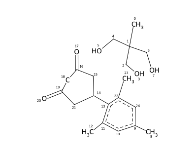 CC(CO)(CO)CO.Cc1cc(C)c(C2CC(=O)CC(=O)C2)c(C)c1